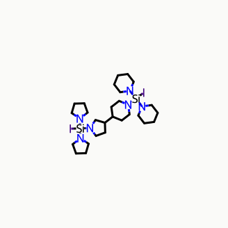 I[Si](N1CCCCC1)(N1CCCCC1)N1CCC(C2CCN([Si](I)(N3CCCC3)N3CCCC3)C2)CC1